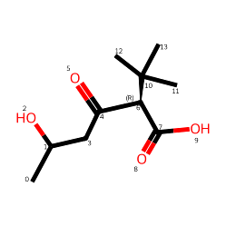 CC(O)CC(=O)[C@H](C(=O)O)C(C)(C)C